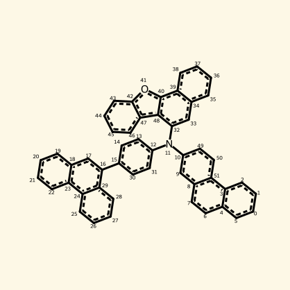 c1ccc2c(c1)ccc1cc(N(c3ccc(-c4cc5ccccc5c5ccccc45)cc3)c3cc4ccccc4c4oc5ccccc5c34)ccc12